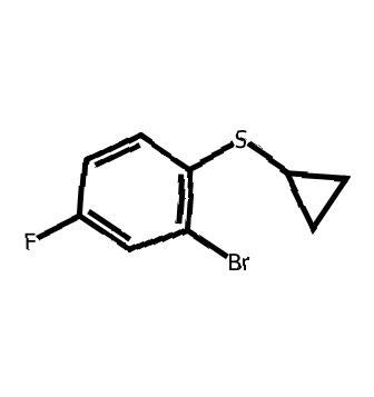 Fc1ccc(SC2CC2)c(Br)c1